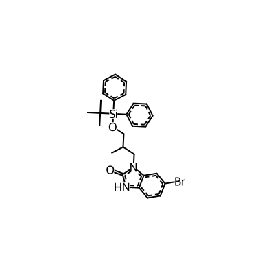 CC(CO[Si](c1ccccc1)(c1ccccc1)C(C)(C)C)Cn1c(=O)[nH]c2ccc(Br)cc21